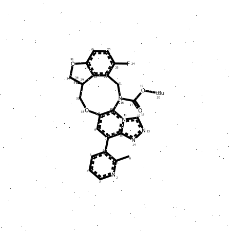 Cc1ncccc1-c1cc2c(n3cnnc13)N(C(=O)OC(C)(C)C)Cc1c(F)ccc3c1[C@@H](CO3)CO2